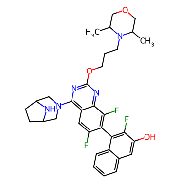 CC1COCC(C)N1CCCOc1nc(N2CC3CCC(C2)N3)c2cc(F)c(-c3c(F)c(O)cc4ccccc34)c(F)c2n1